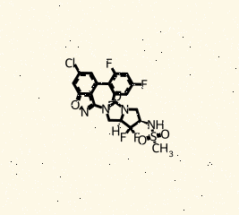 CS(=O)(=O)N[C@@H]1CN2C(=O)N(c3noc4cc(Cl)cc(-c5c(F)cc(F)cc5F)c34)C[C@@H]2C1(F)F